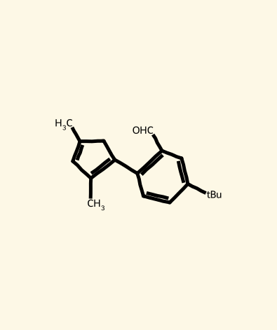 CC1=CC(C)=C(c2ccc(C(C)(C)C)cc2C=O)C1